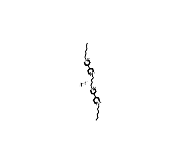 CCCCCC[n+]1ccc(-c2cc[n+](CCCC[n+]3ccc(-c4cc[n+](CCCCCC)cc4)cc3)cc2)cc1.[I-].[I-].[I-].[I-]